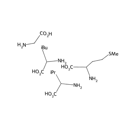 CC(C)C(N)C(=O)O.CCC(C)C(N)C(=O)O.CSCCC(N)C(=O)O.NCC(=O)O